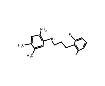 Cc1cc(N)c(NCCCc2c(F)cccc2F)cc1C